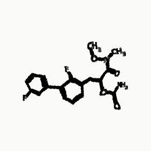 CON(C)C(=O)C(Cc1cccc(-c2cccc(F)c2)c1F)OC(N)=O